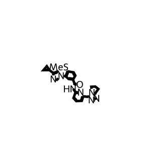 CSc1ccc(C(=O)Nc2cccc(-c3nnc4n3CCC4)n2)cc1-n1cnc(C2CC2)c1